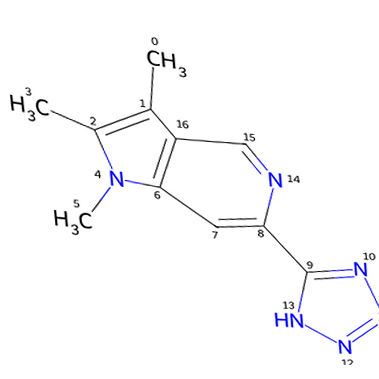 Cc1c(C)n(C)c2cc(-c3nnn[nH]3)ncc12